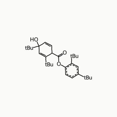 CC(C)(C)C1=CC(O)(C(C)(C)C)C=CC1C(=O)Oc1ccc(C(C)(C)C)cc1C(C)(C)C